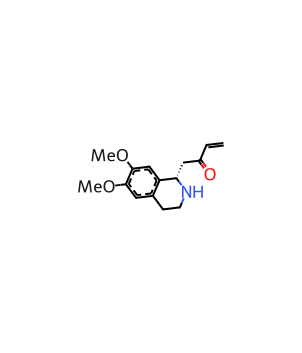 C=CC(=O)C[C@@H]1NCCc2cc(OC)c(OC)cc21